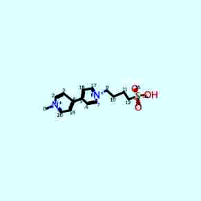 C[n+]1ccc(-c2cc[n+](CCCCS(=O)(=O)O)cc2)cc1